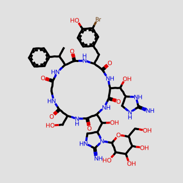 CC(c1ccccc1)C1NC(=O)CNC(=O)C(CO)NC(=O)C(C(O)C2CNC(=N)N2C2OC(CO)C(O)C(O)C2O)NC(=O)C(C(O)C2CNC(=N)N2)NC(=O)C(Cc2ccc(O)c(Br)c2)NC1=O